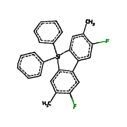 Cc1cc2c(cc1F)-c1cc(F)c(C)cc1[Si]2(c1ccccc1)c1ccccc1